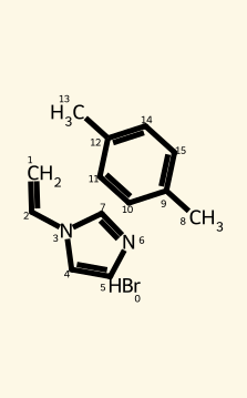 Br.C=Cn1ccnc1.Cc1ccc(C)cc1